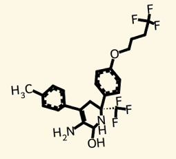 Cc1ccc(C2=C(N)C(O)N[C@@](c3ccc(OCCCC(F)(F)F)cc3)(C(F)(F)F)C2)cc1